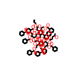 C=CCO[C@@H]1OC(COC(=O)c2ccccc2)[C@H](OCc2ccccc2)C(O[C@H]2OC(COC(=O)c3ccccc3)[C@H](OC(=O)c3ccccc3)C(O[C@@H]3OC(COC(=O)c4ccccc4)[C@H](OCc4ccccc4)C(O[C@H]4OC(COC(=O)c5ccccc5)[C@H](OC(=O)c5ccccc5)C(OC(=O)CCC(C)=O)C4OCc4ccccc4)C3OC(=O)c3ccccc3)C2OCc2ccccc2)C1OC(=O)c1ccccc1